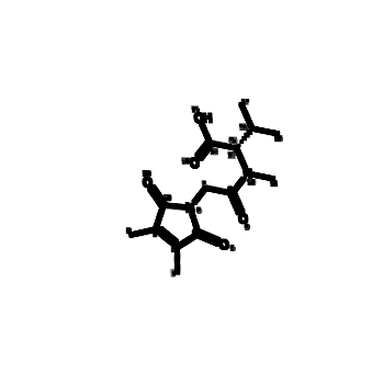 CC1=C(C)C(=O)N(CC(=O)N(C)[C@H](C(=O)O)C(C)C)C1=O